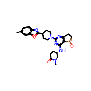 Cc1ccc2nc(C3CCN(c4nc5c(c(N[C@H]6CCC(=O)N(C)C6)n4)[S+]([O-])CC5)CC3)oc2c1